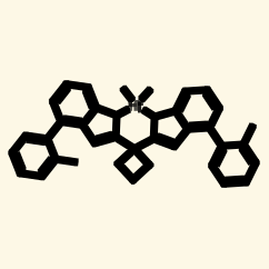 Cc1ccccc1-c1cccc2c1C=C1[CH]2[Hf]([CH3])([CH3])[CH]2C(=Cc3c(-c4ccccc4C)cccc32)C12CCC2